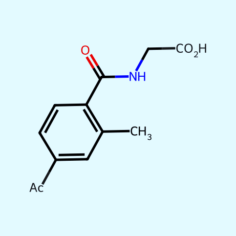 CC(=O)c1ccc(C(=O)NCC(=O)O)c(C)c1